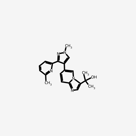 Cc1cccc(-c2nn(C)cc2-c2ccc3ncc(C(C)(C)O)n3c2)n1